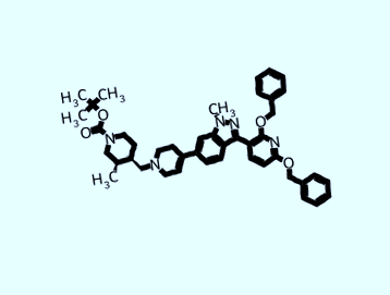 C[C@H]1CN(C(=O)OC(C)(C)C)CC[C@H]1CN1CC=C(c2ccc3c(-c4ccc(OCc5ccccc5)nc4OCc4ccccc4)nn(C)c3c2)CC1